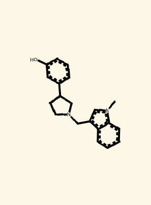 Cn1cc(CN2CCC(c3cccc(O)c3)C2)c2ccccc21